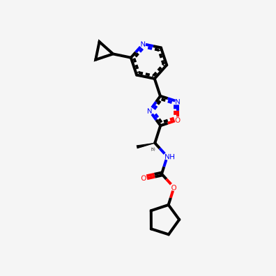 C[C@H](NC(=O)OC1CCCC1)c1nc(-c2ccnc(C3CC3)c2)no1